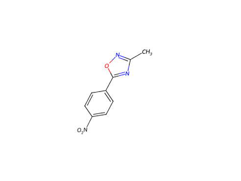 Cc1noc(-c2ccc([N+](=O)[O-])cc2)n1